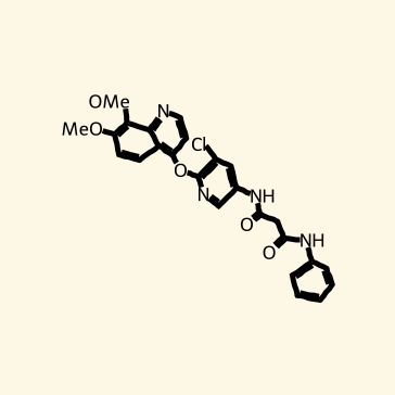 COc1ccc2c(Oc3ncc(NC(=O)CC(=O)Nc4ccccc4)cc3Cl)ccnc2c1OC